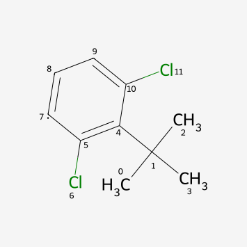 CC(C)(C)c1c(Cl)[c]ccc1Cl